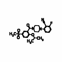 CC(C)Oc1ccc(S(C)(=O)=O)cc1C(=O)N1CCN(c2cccc(F)c2C#N)CC1